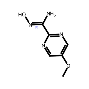 COc1cnc(/C(N)=N/O)nc1